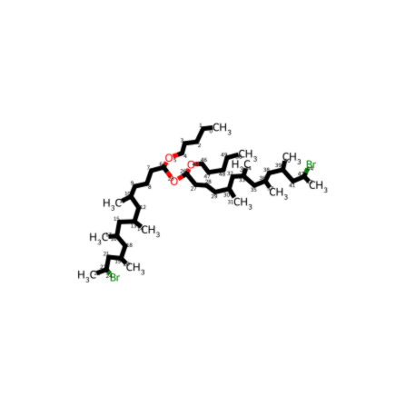 CCCCCOC(CCCC(C)CC(C)CC(C)CC(C)CC(C)Br)OC(CCCC(C)CC(C)CC(C)CC(C)CC(C)Br)OCCCCC